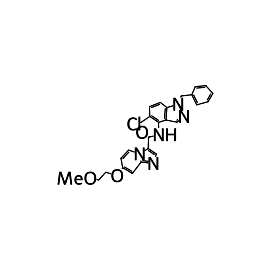 COCCOc1ccn2c(C(=O)Nc3c(Cl)ccc4c3cnn4Cc3ccccc3)cnc2c1